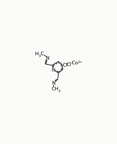 CN=Cc1cccc(C=NC)n1.[Cl-].[Cl-].[Co+2]